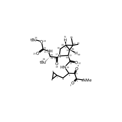 CNC(=O)C(=O)C(CC1CC1)NC(=O)[C@@H]1[C@@H]2[C@H](CN1C(=O)[C@@H](NC(=O)OC(C)(C)C)C(C)(C)C)C2(C)C